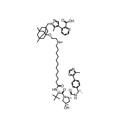 Cc1ncsc1-c1ccc([C@H](C)NC(=O)[C@@H]2C[C@@H](O)CN2C(=O)[C@@H](NC(=O)CCCCCCCCCCCN(C)CCOC23CC4(C)CC(C)(CC(Cn5ncc(-c6cccnc6C(=O)O)c5C)(C4)C2)C3)C(C)(C)C)cc1